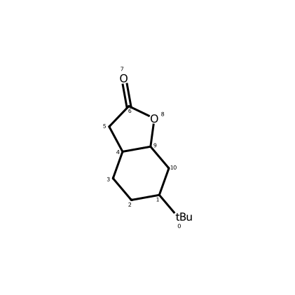 CC(C)(C)C1CCC2CC(=O)OC2C1